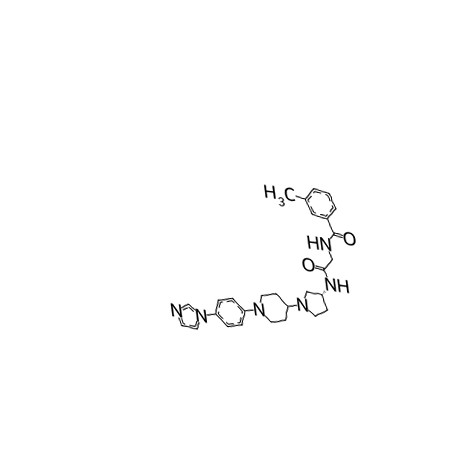 Cc1cccc(C(=O)NCC(=O)N[C@@H]2CCN(C3CCN(c4ccc(-n5ccnc5)cc4)CC3)C2)c1